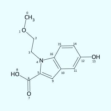 COCCn1c(C(=O)O)cc2cc(O)ccc21